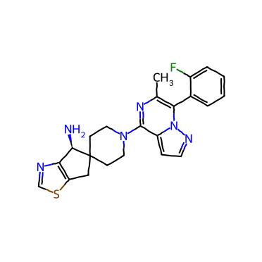 Cc1nc(N2CCC3(CC2)Cc2scnc2[C@H]3N)c2ccnn2c1-c1ccccc1F